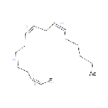 CC/C=C\C/C=C\C/C=C\C/C=C\CCCCC(C)=O